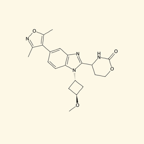 CO[C@H]1C[C@H](n2c(C3CCOC(=O)N3)nc3cc(-c4c(C)noc4C)ccc32)C1